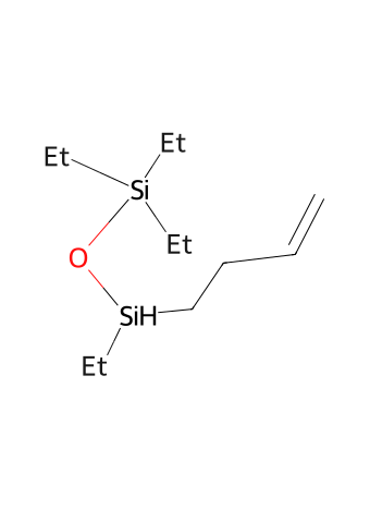 C=CCC[SiH](CC)O[Si](CC)(CC)CC